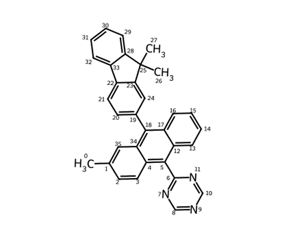 Cc1ccc2c(-c3ncncn3)c3ccccc3c(-c3ccc4c(c3)C(C)(C)c3ccccc3-4)c2c1